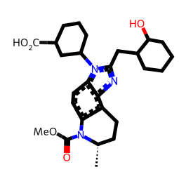 COC(=O)N1c2ccc3c(nc(CC4CCCCC4O)n3C3CCCC(C(=O)O)C3)c2CC[C@@H]1C